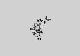 CC(C)NC(=O)CC[C@H](C)[C@@H]1CC[C@@H]2[C@H]3[C@H](O)C[C@H]4C[C@@H](O)CC[C@@]4(C)[C@@H]3CC[C@]21C